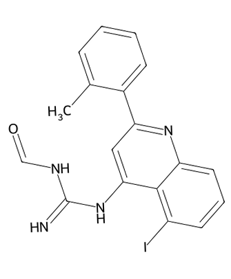 Cc1ccccc1-c1cc(NC(=N)NC=O)c2c(I)cccc2n1